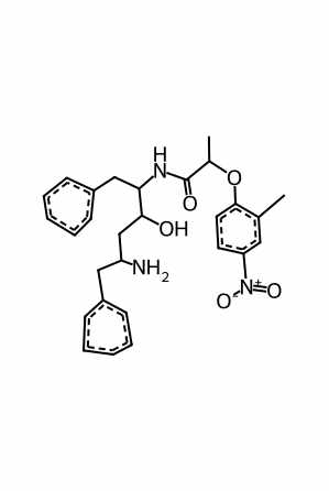 Cc1cc([N+](=O)[O-])ccc1OC(C)C(=O)NC(Cc1ccccc1)C(O)CC(N)Cc1ccccc1